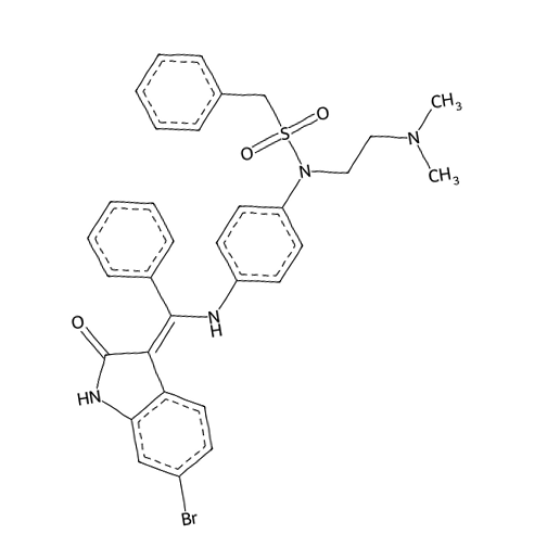 CN(C)CCN(c1ccc(NC(=C2C(=O)Nc3cc(Br)ccc32)c2ccccc2)cc1)S(=O)(=O)Cc1ccccc1